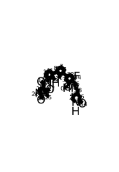 COc1cc(-c2cccc(-c3cccc(NC(=O)c4cn(C)c(=O)n(C)c4=O)c3C)c2C)cc(F)c1CNCC1CCNC(=O)C1